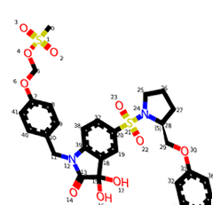 CS(=O)(=O)OCOc1ccc(CN2C(=O)C(O)(O)c3cc(S(=O)(=O)N4CCC[C@H]4COc4ccccc4)ccc32)cc1